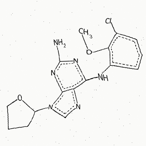 COc1c(Cl)cccc1Nc1nc(N)nc2c1ncn2C1CCCO1